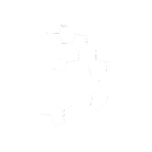 Cc1nnc(COc2cccc(-c3cc(F)c(Cc4nc5ccc(C(=O)O)cc5n4CC4CCO4)cc3F)n2)s1